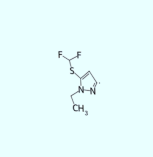 CCn1n[c]cc1SC(F)F